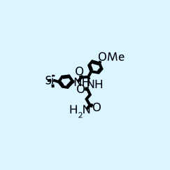 COc1ccc(C(NC(=O)CCC(N)=O)C(=O)Nc2ccc([Si](C)(C)C)cc2)cc1